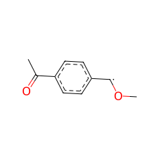 CO[CH]c1ccc(C(C)=O)cc1